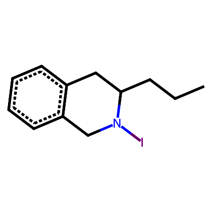 CCCC1Cc2ccccc2CN1I